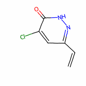 C=Cc1cc(Cl)c(=O)[nH]n1